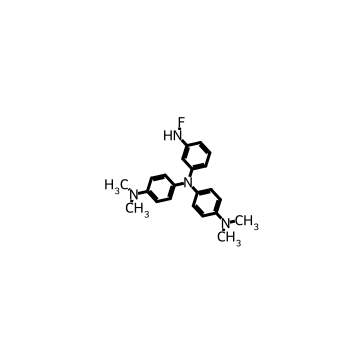 CN(C)c1ccc(N(c2ccc(N(C)C)cc2)c2cccc(NF)c2)cc1